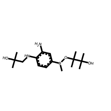 CB(OC(C)(C)C(C)(C)O)c1ccc(NCC(C)(C)O)c(N)c1